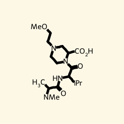 CNC(C)C(=O)NC(C(=O)N1CCN(CCOC)CC1C(=O)O)C(C)C